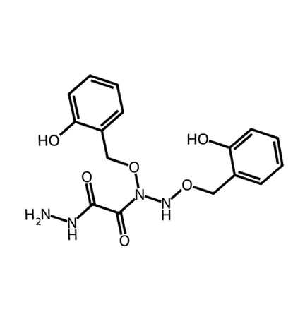 NNC(=O)C(=O)N(NOCc1ccccc1O)OCc1ccccc1O